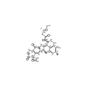 CCO[C@@H](C)CC(=O)N[C@H]1CCc2c(C)c(F)cc3nc4c(c1c23)Cn1c-4cc2c(c1=O)COC(=O)[C@]2(O)CC